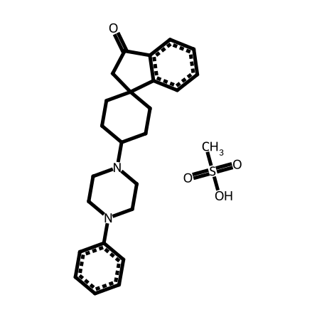 CS(=O)(=O)O.O=C1CC2(CCC(N3CCN(c4ccccc4)CC3)CC2)c2ccccc21